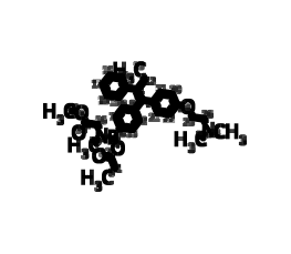 CCC(=O)OB(c1ccc(C(=C(CC)c2ccccc2)c2ccc(OCCN(C)C)cc2)cc1)N(C)CC(=O)OC